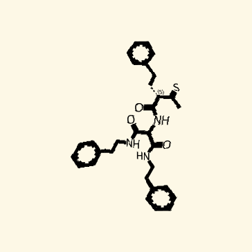 CC(=S)[C@@H](CCc1ccccc1)C(=O)NC(C(=O)NCCc1ccccc1)C(=O)NCCc1ccccc1